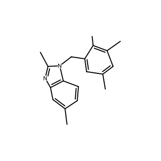 Cc1cc(C)c(C)c(Cn2c(C)nc3cc(C)ccc32)c1